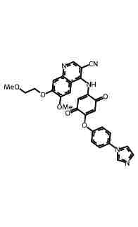 COCCOc1cc2ncc(C#N)c(NC3=CC(=O)C(Oc4ccc(-n5ccnc5)cc4)=CC3=O)c2cc1OC